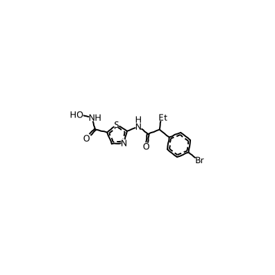 CCC(C(=O)Nc1ncc(C(=O)NO)s1)c1ccc(Br)cc1